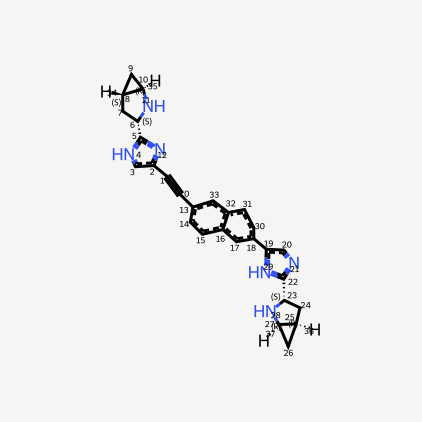 C(#Cc1c[nH]c([C@@H]2C[C@@H]3C[C@H]3N2)n1)c1ccc2cc(-c3cnc([C@@H]4C[C@H]5C[C@H]5N4)[nH]3)ccc2c1